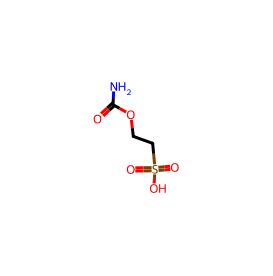 NC(=O)OCCS(=O)(=O)O